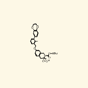 Cc1c(COc2ccc3c(c2)CN(C(=O)OC(C)(C)C)[C@](C)(C(=O)O)C3)cccc1-c1ccc2c(c1)OCCO2